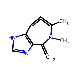 C=C1c2nc[nH]c2C=C=C(C)N1C